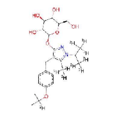 [2H]C(C)(C)Oc1ccc(Cc2c(O[C@@H]3O[C@H](CO)[C@@H](O)[C@H](O)[C@H]3O)nn(C(C([2H])([2H])[2H])C([2H])([2H])[2H])c2C([2H])([2H])[2H])cc1